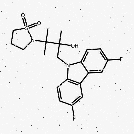 CC(O)(Cn1c2ccc(F)cc2c2cc(F)ccc21)C(C)(C)N1CCCS1(=O)=O